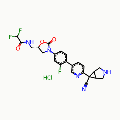 Cl.N#CC1(c2ccc(-c3ccc(N4C[C@H](CNC(=O)C(F)F)OC4=O)cc3F)cn2)C2CNCC21